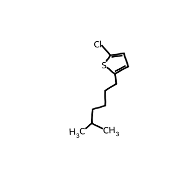 CC(C)CCCCc1ccc(Cl)s1